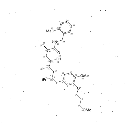 COCCCOc1cc(C[C@@H](C[C@H](I)[C@@H](O)C[C@H](C(=O)NCc2ccccc2OC)C(C)C)C(C)C)ccc1OC